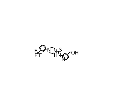 OCc1ccnc(NC(=S)N2CCN(c3cccc(C(F)(F)F)c3)CC2)c1